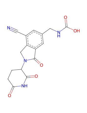 N#Cc1cc(CNC(=O)O)cc2c1CN(C1CCC(=O)NC1=O)C2=O